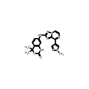 Cn1cc(-c2nccn3nc(Nc4ccc5c(c4)NC(=O)OC5(C)C)nc23)cn1